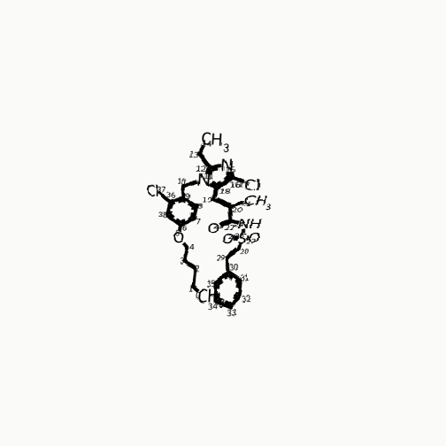 CCCCCOc1ccc(Cn2c(CC)nc(Cl)c2C=C(C)C(=O)NS(=O)(=O)C=Cc2ccccc2)c(Cl)c1